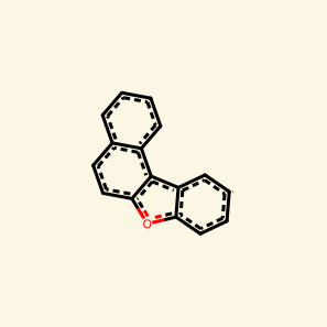 [c]1ccc2oc3ccc4ccccc4c3c2c1